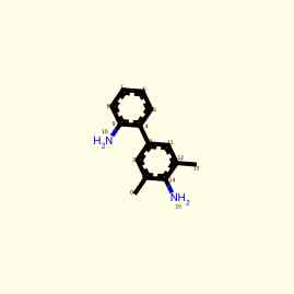 Cc1cc(-c2ccccc2N)cc(C)c1N